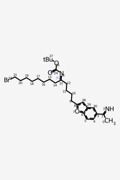 CC(=N)c1ccc2oc(CCCC/C(CCCCCCCCBr)=N/C(=O)OC(C)(C)C)cc2c1